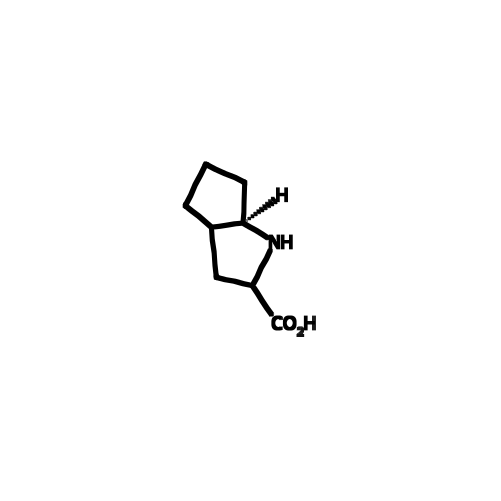 O=C(O)C1CC2CCC[C@H]2N1